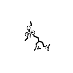 CCO[SiH](OCC)OCCC(CCN(C)C)CN(C)C